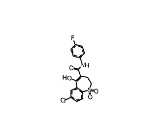 O=C(Nc1ccc(F)cc1)C1=C(O)c2cc(Cl)ccc2S(=O)(=O)CC1